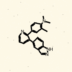 Cc1cc(-c2ncccc2-c2ccc3[nH]ncc3c2)ccc1N(C)C